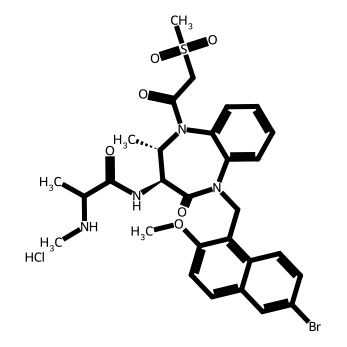 CNC(C)C(=O)N[C@@H]1C(=O)N(Cc2c(OC)ccc3cc(Br)ccc23)c2ccccc2N(C(=O)CS(C)(=O)=O)[C@H]1C.Cl